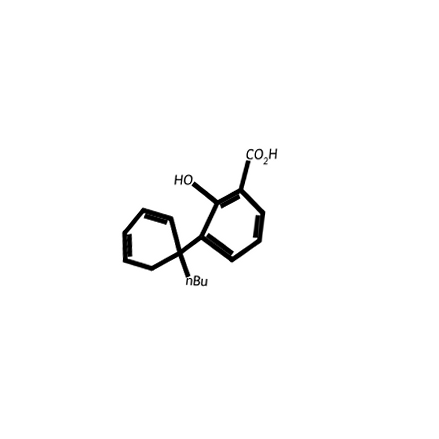 CCCCC1(c2cccc(C(=O)O)c2O)C=CC=CC1